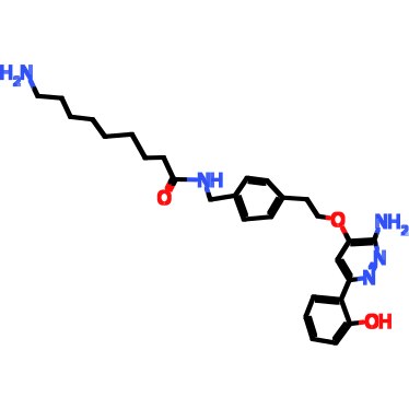 NCCCCCCCCC(=O)NCc1ccc(CCOc2cc(-c3ccccc3O)nnc2N)cc1